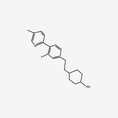 CCCCC1CCC(CCc2ccc(-c3ccc(C)cn3)c(F)c2)CC1